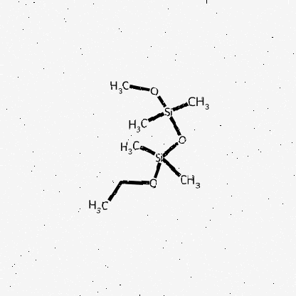 CCO[Si](C)(C)O[Si](C)(C)OC